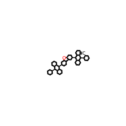 N#Cc1ccccc1-c1c2ccccc2c(-c2ccc3oc4cc(-c5c6ccccc6c(-c6ccccc6)c6ccccc56)ccc4c3c2)c2ccccc12